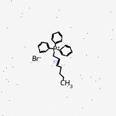 CCCC/C=C/C[P+](c1ccccc1)(c1ccccc1)c1ccccc1.[Br-]